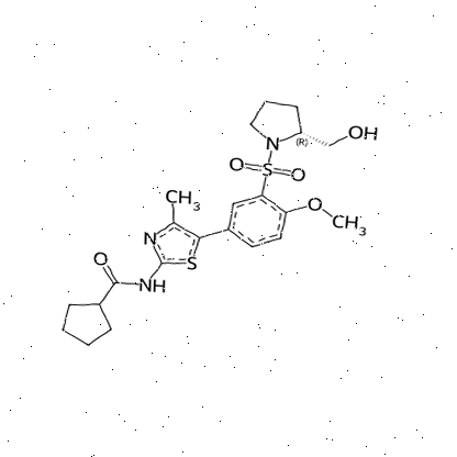 COc1ccc(-c2sc(NC(=O)C3CCCC3)nc2C)cc1S(=O)(=O)N1CCC[C@@H]1CO